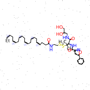 CC/C=C\C/C=C\C/C=C\C/C=C\C/C=C\C/C=C\CCC(=O)NCCSSC(C)(C)[C@H](NC(=O)c1cc(-c2ccccc2)on1)C(=O)NC[C@@H](O)CO